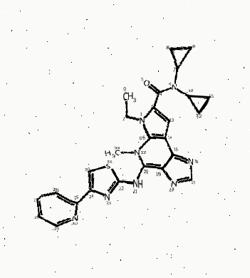 CCn1c(C(=O)N(C2CC2)C2CC2)cc2c3ncnc-3c(Nc3nc(-c4ccccn4)cs3)n(C)c21